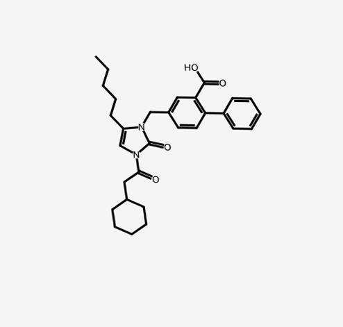 CCCCCc1cn(C(=O)CC2CCCCC2)c(=O)n1Cc1ccc(-c2ccccc2)c(C(=O)O)c1